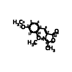 COc1ccc(/C=C2\N=C(C)OC2=O)c(OC)c1